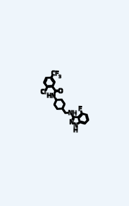 O=C(NC1CCC(CNc2n[nH]c3cccc(F)c23)CC1)c1cc(C(F)(F)F)ccc1Cl